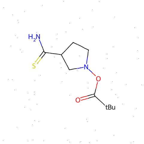 CC(C)(C)C(=O)ON1CCC(C(N)=S)C1